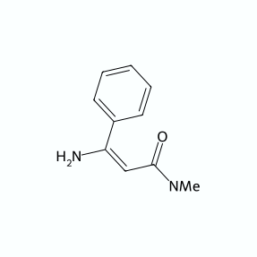 CNC(=O)/C=C(/N)c1ccccc1